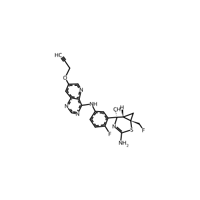 C#CCOc1cnc2c(Nc3ccc(F)c([C@]4(C)N=C(N)S[C@@]5(CF)C[C@H]54)c3)ncnc2c1